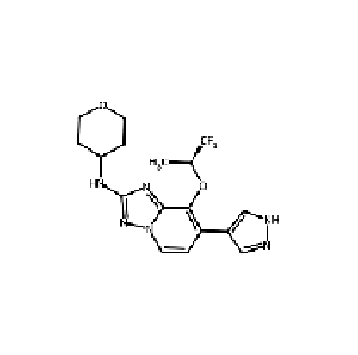 C[C@H](Oc1c(-c2cn[nH]c2)ccn2nc(NC3CCOCC3)nc12)C(F)(F)F